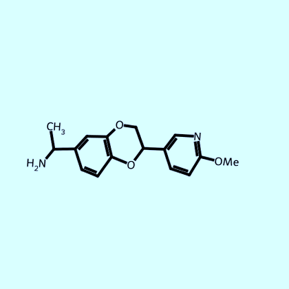 COc1ccc(C2COc3cc(C(C)N)ccc3O2)cn1